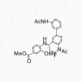 COC(=O)c1ccc(N[C@@H]2C[C@H](C)N(C(C)=O)c3ccc(-c4cccc(NC(C)=O)c4)cc32)c(OC)c1